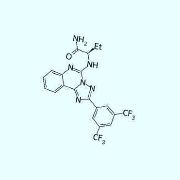 CC[C@@H](Nc1nc2ccccc2c2nc(-c3cc(C(F)(F)F)cc(C(F)(F)F)c3)nn12)C(N)=O